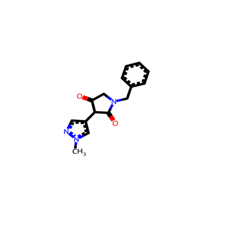 Cn1cc(C2C(=O)CN(Cc3ccccc3)C2=O)cn1